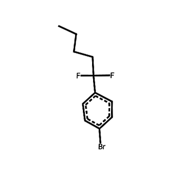 CCCCC(F)(F)c1ccc(Br)cc1